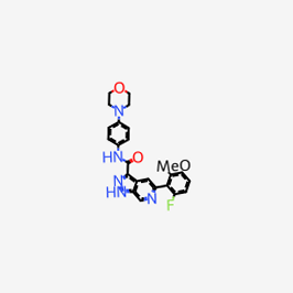 COc1cccc(F)c1-c1cc2c(C(=O)Nc3ccc(N4CCOCC4)cc3)n[nH]c2cn1